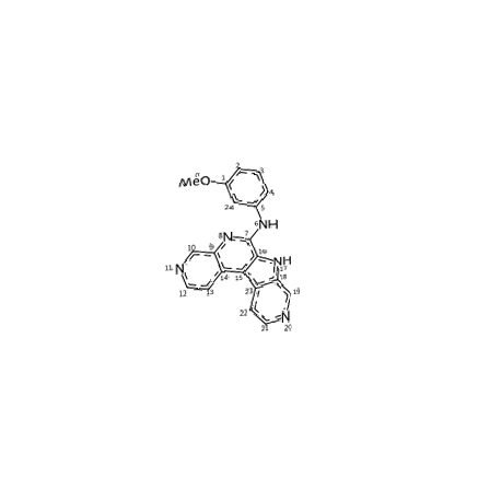 COc1cccc(Nc2nc3cnccc3c3c2[nH]c2cnccc23)c1